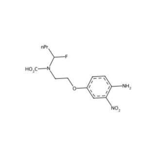 CCCC(F)N(CCOc1ccc(N)c([N+](=O)[O-])c1)C(=O)O